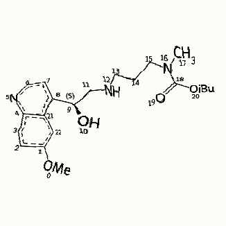 COc1ccc2nccc([C@H](O)CNCCCN(C)C(=O)OCC(C)C)c2c1